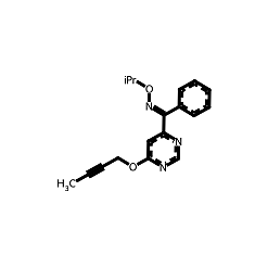 CC#CCOc1cc(C(=NOC(C)C)c2ccccc2)ncn1